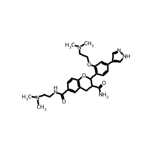 CN(C)CCNC(=O)c1ccc2c(c1)CC(C(N)=O)C(c1ccc(-c3cn[nH]c3)cc1OCCN(C)C)O2